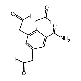 NC(=O)c1cc(CC(=O)I)cc(CC(=O)I)c1CC(=O)I